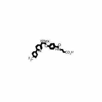 CCCCCC[C@@H](COc1ccc(C(=O)NCCC(=O)O)cc1)c1ccc(-c2ccc(C(F)(F)F)cc2)nc1